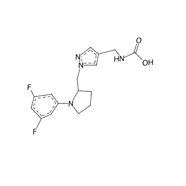 O=C(O)NCc1cnn(CC2CCCN2c2cc(F)cc(F)c2)c1